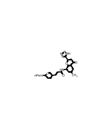 CCCCCc1ccc(/C=C/C(=O)Nc2cc(C)cc3c(=O)cc(-c4nnn[nH]4)oc23)cc1